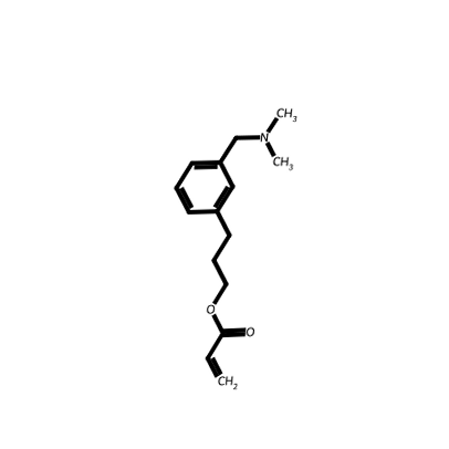 C=CC(=O)OCCCc1cccc(CN(C)C)c1